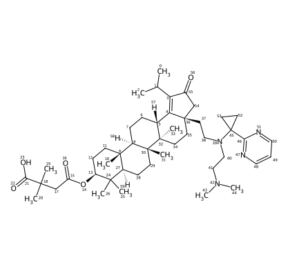 CC(C)C1=C2[C@H]3CC[C@@H]4[C@@]5(C)CC[C@H](OC(=O)CC(C)(C)C(=O)O)C(C)(C)[C@@H]5CC[C@@]4(C)[C@]3(C)CC[C@@]2(CCN(CCN(C)C)C2(c3ncccn3)CC2)CC1=O